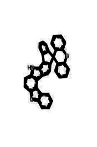 c1ccc2c(c1)Oc1ccccc1C21c2ccccc2-c2c1ccc1c2[nH]c2ccc3oc4ccccc4c3c21